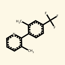 Cc1cc(C(F)(F)F)ccc1-c1ncccc1C